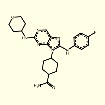 NC(=O)C1CCC(n2c(Nc3ccc(F)cc3)nc3cnc(NC4CCOCC4)nc32)CC1